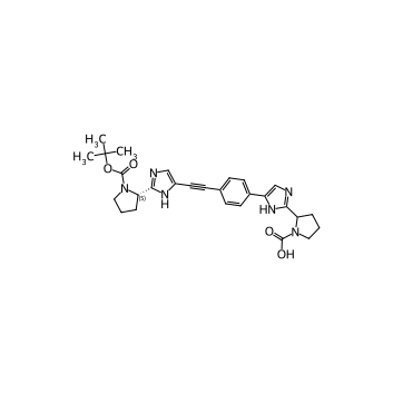 CC(C)(C)OC(=O)N1CCC[C@H]1c1ncc(C#Cc2ccc(-c3cnc(C4CCCN4C(=O)O)[nH]3)cc2)[nH]1